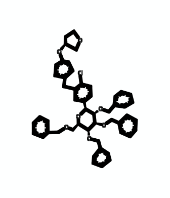 Clc1ccc([C@@H]2O[C@H](COCc3ccccc3)[C@@H](OCc3ccccc3)[C@H](OCc3ccccc3)[C@H]2OCc2ccccc2)cc1Cc1ccc(O[C@H]2CCOC2)cc1